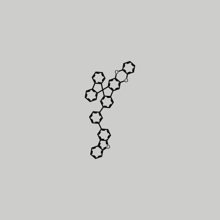 c1cc(-c2ccc3c(c2)C2(c4ccccc4-c4ccccc42)c2cc4c(cc2-3)Oc2ccccc2O4)cc(-c2ccc3oc4ccccc4c3c2)c1